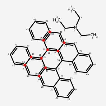 CCN(CC)CC.c1ccc(P(c2ccccc2)c2ccc3ccccc3c2-c2c(P(c3ccccc3)c3ccccc3)ccc3ccccc23)cc1